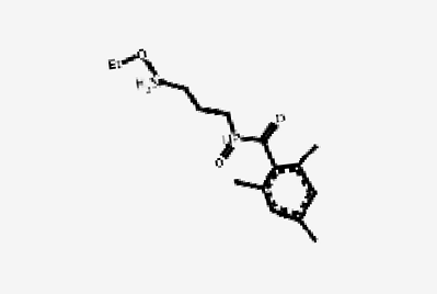 CCO[SiH2]CCC[PH](=O)C(=O)c1c(C)cc(C)cc1C